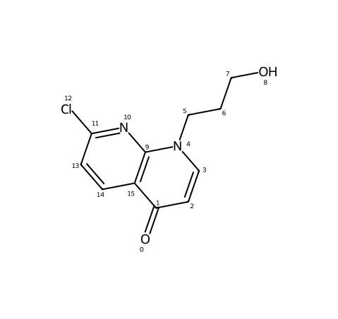 O=c1ccn(CCCO)c2nc(Cl)ccc12